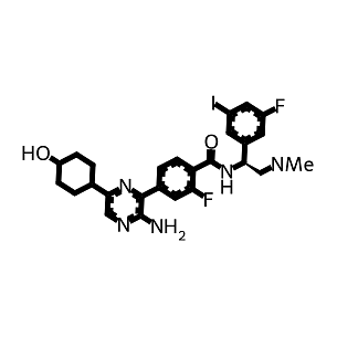 CNC[C@@H](NC(=O)c1ccc(-c2nc(C3CCC(O)CC3)cnc2N)cc1F)c1cc(F)cc(I)c1